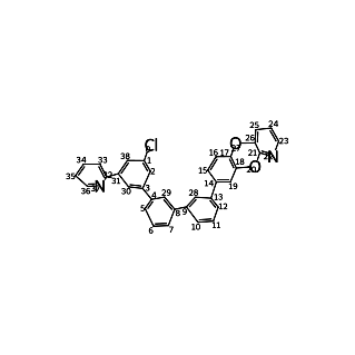 Clc1cc(-c2cccc(-c3cccc(-c4ccc5c(c4)Oc4ncccc4O5)c3)c2)cc(-c2ccccn2)c1